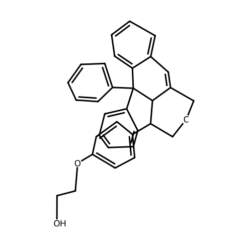 OCCOc1ccc(C2CCCC3=Cc4ccccc4C(c4ccccc4)(c4ccccc4)C32)cc1